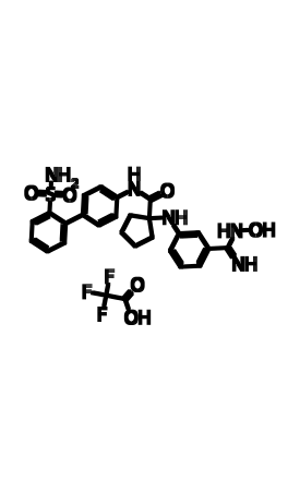 N=C(NO)c1cccc(NC2(C(=O)Nc3ccc(-c4ccccc4S(N)(=O)=O)cc3)CCCC2)c1.O=C(O)C(F)(F)F